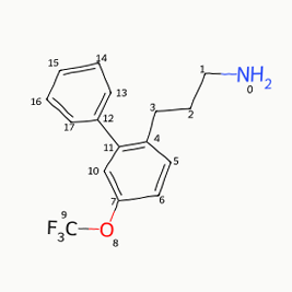 NCCCc1ccc(OC(F)(F)F)cc1-c1ccccc1